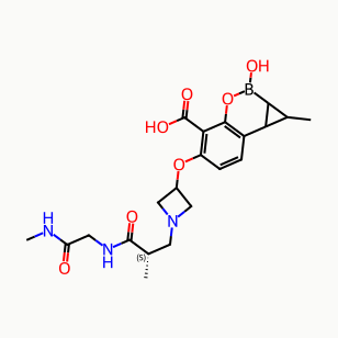 CNC(=O)CNC(=O)[C@@H](C)CN1CC(Oc2ccc3c(c2C(=O)O)OB(O)C2C(C)C32)C1